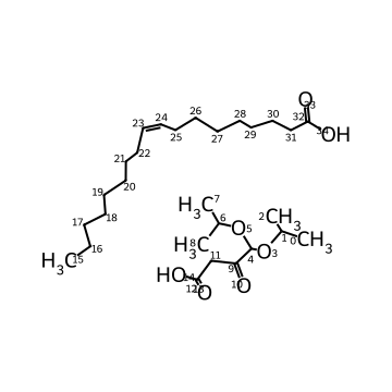 CC(C)OC(OC(C)C)C(=O)CC(=O)O.CCCCCCCC/C=C\CCCCCCCC(=O)O